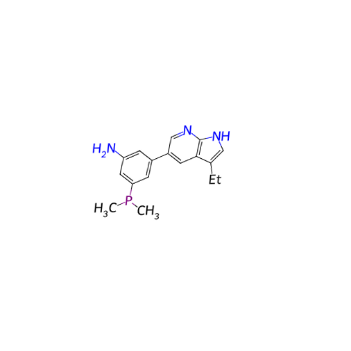 CCc1c[nH]c2ncc(-c3cc(N)cc(P(C)C)c3)cc12